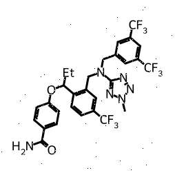 CCC(Oc1ccc(C(N)=O)cc1)c1ccc(C(F)(F)F)cc1CN(Cc1cc(C(F)(F)F)cc(C(F)(F)F)c1)c1nnn(C)n1